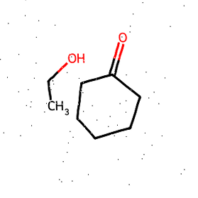 CCO.O=C1CCCCC1